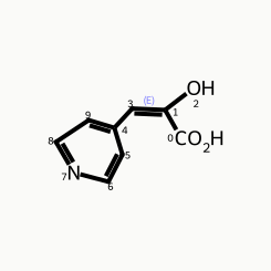 O=C(O)/C(O)=C\c1ccncc1